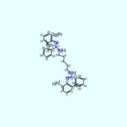 CCCc1cccc(CCC)c1/N=C(/NCCCCCN/C(=N/c1c(CCC)cccc1CCC)c1ccccc1)c1ccccc1